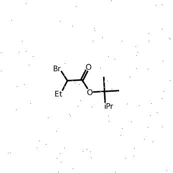 CCC(Br)C(=O)OC(C)(C)C(C)C